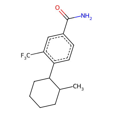 CC1CCCCC1c1ccc(C(N)=O)cc1C(F)(F)F